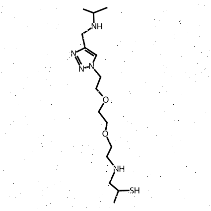 CC(S)CNCCOCCOCCn1cc(CNC(C)C)nn1